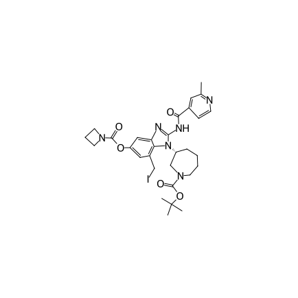 Cc1cc(C(=O)Nc2nc3cc(OC(=O)N4CCC4)cc(CI)c3n2[C@@H]2CCCCN(C(=O)OC(C)(C)C)C2)ccn1